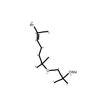 COC(C)(C)COC(C)(C)CC/C=C(\C)C(C)C